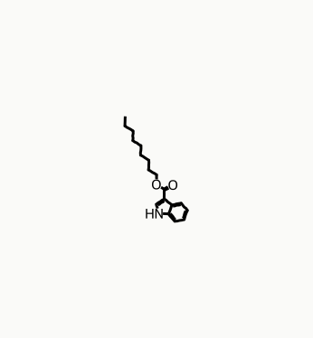 CCCCCCCCCOC(=O)c1c[nH]c2ccccc12